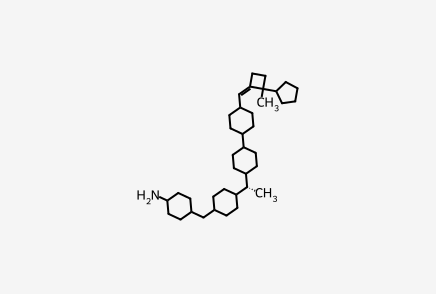 C[C@H](C1CCC(CC2CCC(N)CC2)CC1)C1CCC(C2CCC(/C=C3/CCC3(C)C3CCCC3)CC2)CC1